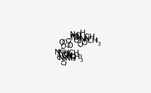 CC([C@H](NC(=O)N(C)C)c1ccccc1)N1CCC[C@H]1c1ncc(-c2cc3c4c(c2)OCc2cc(-c5cnc([C@@H]6CCCN6C(=O)[C@H](NC(=O)N(C)C)c6ccccc6)[nH]5)cc(c2-4)OC3)[nH]1